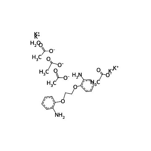 CC(=O)[O-].CC(=O)[O-].CC(=O)[O-].CC(=O)[O-].Nc1ccccc1OCCOc1ccccc1N.O.[K+].[K+].[K+].[K+]